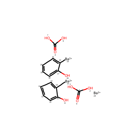 O=C(O)O.O=C(O)O.Oc1cccc[c]1[Ba+2].Oc1cccc[c]1[Ba+2].[Ba+2]